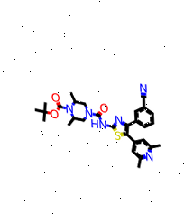 Cc1cc(-c2sc(NC(=O)N3CC(C)N(C(=O)OC(C)(C)C)C(C)C3)nc2-c2cccc(C#N)c2)cc(C)n1